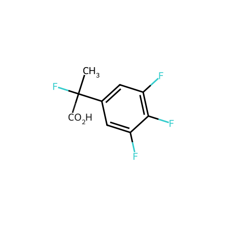 CC(F)(C(=O)O)c1cc(F)c(F)c(F)c1